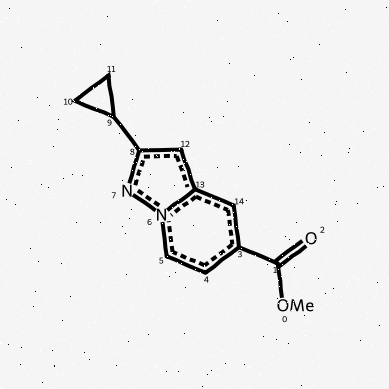 COC(=O)c1ccn2nc(C3CC3)cc2c1